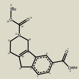 COC(=O)c1ccc2c(c1)C1=C(CCN(C(=O)OC(C)(C)C)C1)C2